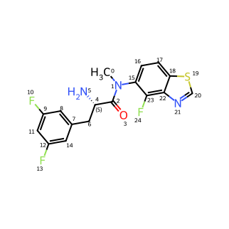 CN(C(=O)[C@@H](N)Cc1cc(F)cc(F)c1)c1ccc2scnc2c1F